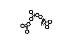 c1ccc(N(c2ccc(-c3ccc4c(c3)c3ccccc3n4-c3ccccc3)cc2)c2ccc3ccc(-c4cnc5c6ccccc6c6ccccc6c5n4)cc3c2)cc1